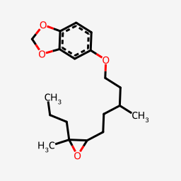 CCCC1(C)OC1CCC(C)CCOc1ccc2c(c1)OCO2